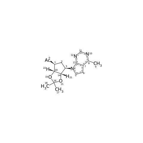 CC(=O)[C@H]1C[C@@H](n2ccc3c(C)ncnc32)[C@@H]2OC(C)(C)O[C@@H]21